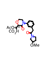 CO[C@@H]1CCN(C(=O)Cc2cccc(N3CCO[C@H]([C@@H](OC(C)=O)C(=O)O)C3=O)c2)C1